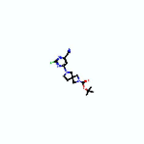 CC(C)(C)OC(=O)N1CC2(CCN(c3cc(C#N)nc(Cl)n3)C2)C1